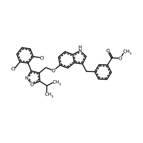 COC(=O)c1cccc(Cc2c[nH]c3ccc(OCc4c(-c5c(Cl)cccc5Cl)noc4C(C)C)cc23)c1